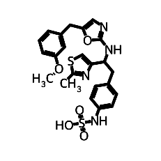 COc1cccc(Cc2cnc(NC(Cc3ccc(NS(=O)(=O)O)cc3)c3csc(C)n3)o2)c1